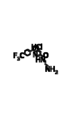 Cl.NCCCNC(=O)c1cnc2c(C3=CC[C@@H](C(F)(F)F)CC3)cccc2c1